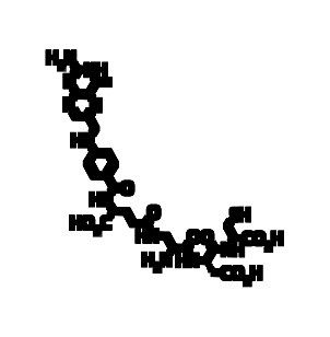 C=C1NC(N)=Nc2ncc(CNc3ccc(C(=O)N[C@@H](CCC(=O)NC[C@H](N)C(=O)N[C@@H](CC(=O)O)C(=O)N[C@@H](CS)C(=O)O)C(=O)O)cc3)nc21